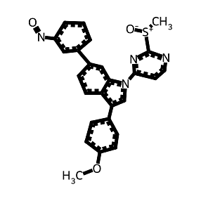 COc1ccc(-c2cn(-c3ccnc([S+](C)[O-])n3)c3cc(-c4cccc(N=O)c4)ccc23)cc1